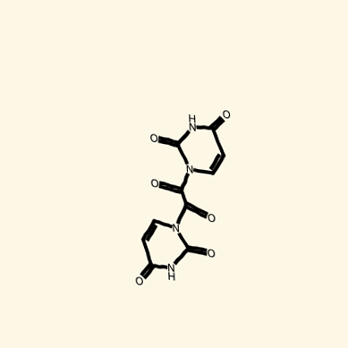 O=C(C(=O)n1ccc(=O)[nH]c1=O)n1ccc(=O)[nH]c1=O